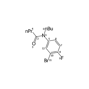 CCCCN(C(=O)CCC)c1ccc(F)c(Br)c1